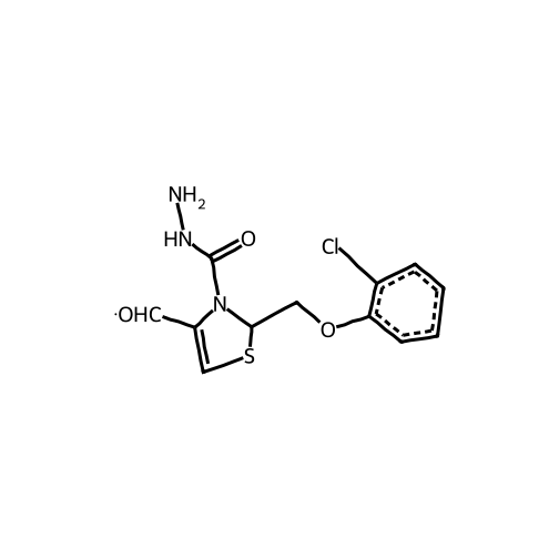 NNC(=O)N1C([C]=O)=CSC1COc1ccccc1Cl